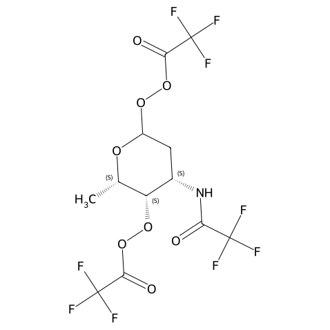 C[C@@H]1OC(OOC(=O)C(F)(F)F)C[C@H](NC(=O)C(F)(F)F)[C@@H]1OOC(=O)C(F)(F)F